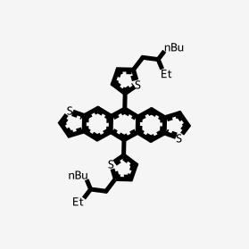 CCCCC(CC)Cc1ccc(-c2c3cc4ccsc4cc3c(-c3ccc(CC(CC)CCCC)s3)c3cc4ccsc4cc23)s1